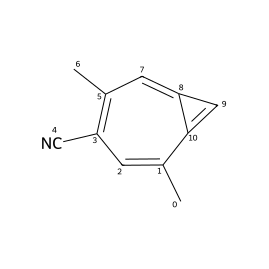 CC1=CC(C#N)=C(C)C=C2C=C12